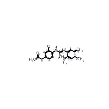 C=C/C=C(/N=C(\C)Nc1ccc(CC(C)=O)cc1Cl)C(\C)=C/CC